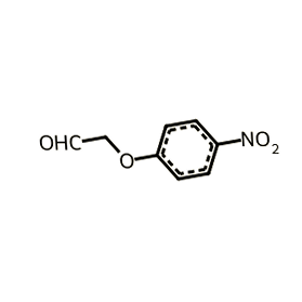 O=CCOc1ccc([N+](=O)[O-])cc1